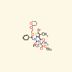 Cc1c(Br)sc2c1c(=O)n(C(C)(C)C(=O)OC(C)(C)C)c(=O)n2C[C@H](OCCOC1CCCCO1)c1ccccc1